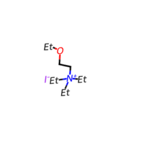 CCOCC[N+](CC)(CC)CC.[I-]